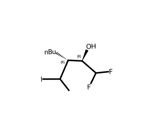 CCCC[C@@H](C(C)I)[C@@H](O)C(F)F